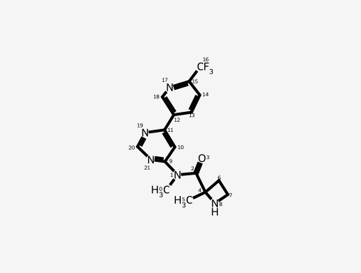 CN(C(=O)C1(C)CCN1)c1cc(-c2ccc(C(F)(F)F)nc2)ncn1